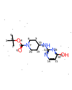 CC(C)(C)OC(=O)N1CCC(Nc2nccc(O)n2)CC1